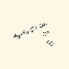 [Ag+].[Ag+].[O-2].[O-2].[O-2].[Ru+4]